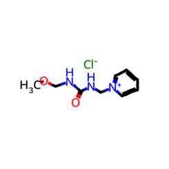 COCNC(=O)NC[n+]1ccccc1.[Cl-]